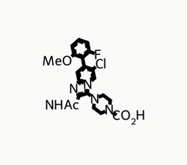 COc1cccc(F)c1-c1cc2nc(NC(C)=O)c(N3CCN(C(=O)O)CC3)n2cc1Cl